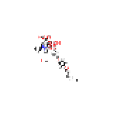 CCCCOc1ccc(OCCCCOP(=O)(O)OC(CC(=O)O)C[N+](C)(C)C)cc1.[OH-]